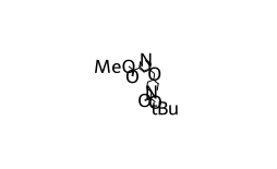 COC(=O)c1cncc(OC2CCN(C(=O)OC(C)(C)C)CC2)c1